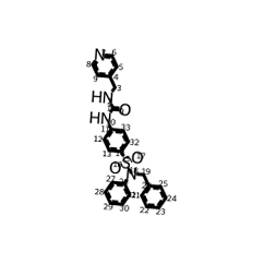 O=C(NCc1ccncc1)Nc1ccc(S(=O)(=O)N(Cc2ccccc2)c2ccccc2)cc1